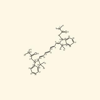 CN(C)C(=O)CN1/C(=C/C=C/C=C/C=C/C2=[N+](CC(=O)N(C)C)c3ccccc3C2(C)C)C(C)(C)c2ccccc21